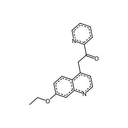 CCOc1ccc2c(CC(=O)c3ccccn3)ccnc2c1